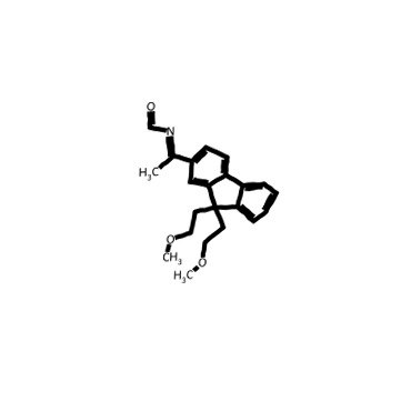 COCCC1(CCOC)c2ccccc2-c2ccc(/C(C)=N/C=O)cc21